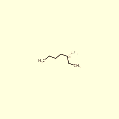 CCCC[C@H](C)CC